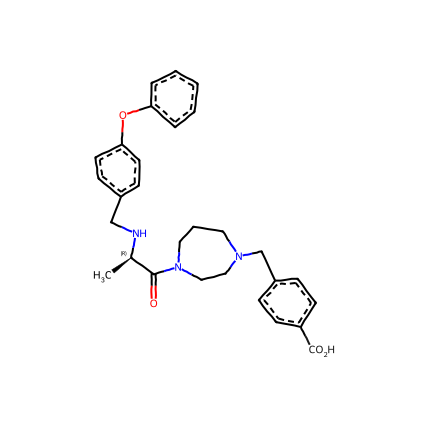 C[C@@H](NCc1ccc(Oc2ccccc2)cc1)C(=O)N1CCCN(Cc2ccc(C(=O)O)cc2)CC1